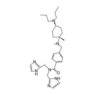 CCCN(CCC)[C@H]1CC[C@](C)(N(C)Cc2ccc(C(=O)N(Cc3ncc[nH]3)Cc3ncc[nH]3)cc2)CC1